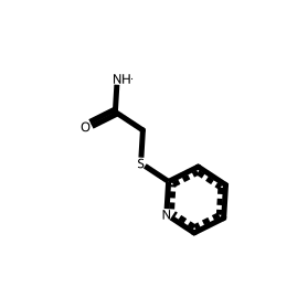 [NH]C(=O)CSc1ccccn1